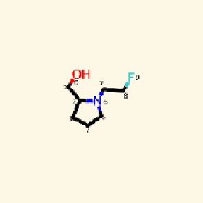 OCC1CCCN1CCF